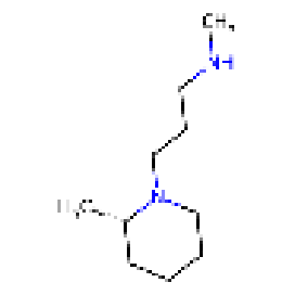 CNCCCN1CCCC[C@@H]1C